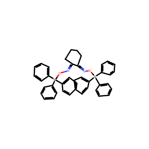 c1ccc([Si](ON=C2CCCCC2=NO[Si](c2ccccc2)(c2ccccc2)c2ccccc2)(c2ccccc2)c2ccccc2)cc1